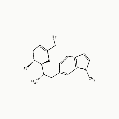 CC[C@H]1CC=C(CC(C)C)C[C@H]1[C@@H](C)Cc1ccc2ccn(C)c2c1